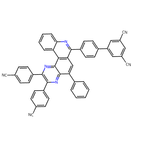 N#Cc1ccc(-c2nc3c(-c4ccccc4)cc4c(-c5ccc(-c6cc(C#N)cc(C#N)c6)cc5)nc5ccccc5c4c3nc2-c2ccc(C#N)cc2)cc1